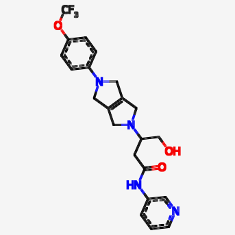 O=C(CC(CO)N1CC2=C(CN(c3ccc(OC(F)(F)F)cc3)C2)C1)Nc1cccnc1